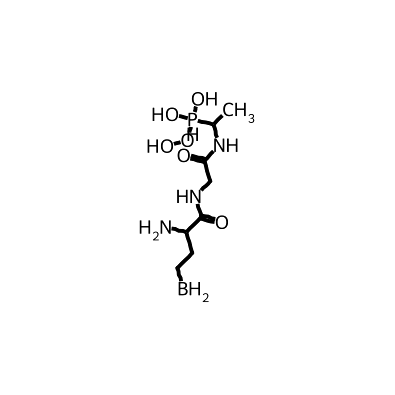 BCCC(N)C(=O)NCC(=O)NC(C)[PH](O)(O)OO